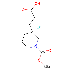 CC(C)(C)OC(=O)N1CCC[C@@](F)(CCC(O)O)C1